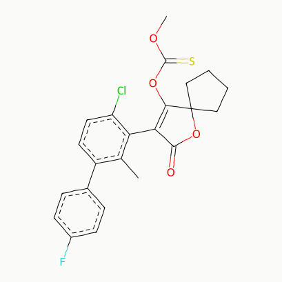 COC(=S)OC1=C(c2c(Cl)ccc(-c3ccc(F)cc3)c2C)C(=O)OC12CCCC2